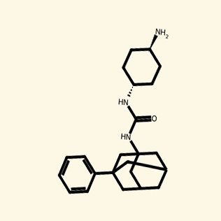 N[C@H]1CC[C@H](NC(=O)NC23CC4CC(C2)CC(c2ccccc2)(C4)C3)CC1